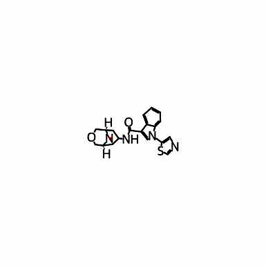 CN1[C@@H]2COC[C@H]1CC(NC(=O)c1cn(-c3cncs3)c3ccccc13)C2